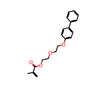 C=C(C)C(=O)OCCOCCOc1ccc(-c2ccccc2)cc1